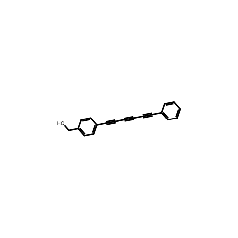 OCc1ccc(C#CC#CC#Cc2ccccc2)cc1